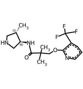 C[C@H]1CNC[C@@H]1NC(=O)C(C)(C)COc1ncccc1C(F)(F)F